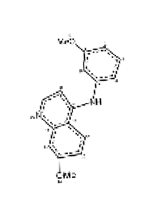 COc1cccc(Nc2ccnc3cc(OC)ccc23)c1